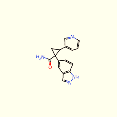 NC(=O)C1(c2ccc3[nH]ncc3c2)CC1c1cccnc1